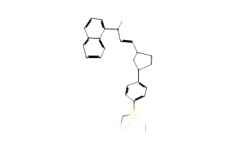 CC(C=CC1CCC(c2ccc(SCC(=O)O)cc2)C1)c1cccc2ccccc12